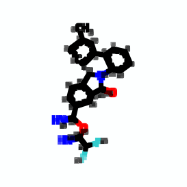 Cc1cccc(-c2ccccc2N2Cc3ccc(C(=N)OC(=N)C(F)F)cc3C2=O)c1